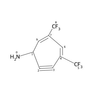 NC1C#CC(C(F)(F)F)=CC(C(F)(F)F)=C1